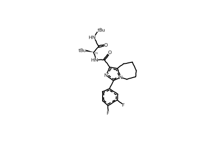 CC(C)(C)NC(=O)[C@@H](NC(=O)c1nc(-c2ccc(F)c(F)c2)n2c1CCCCC2)C(C)(C)C